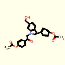 CC(=O)Oc1ccc(C(=O)Cn2cc(-c3ccc(OC(C)=O)cc3)c3ccc(CO)cc32)cc1